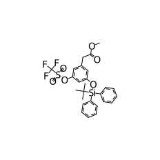 COC(=O)Cc1cc(O[Si](c2ccccc2)(c2ccccc2)C(C)(C)C)cc(OS(=O)(=O)C(F)(F)F)c1